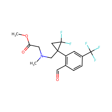 COC(=O)CN(C)CC1(c2cc(C(F)(F)F)ccc2C=O)CC1(F)F